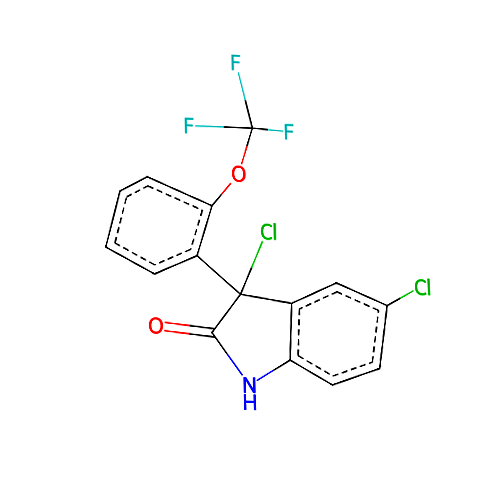 O=C1Nc2ccc(Cl)cc2C1(Cl)c1ccccc1OC(F)(F)F